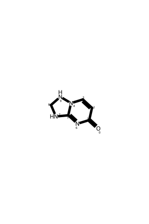 O=c1[c]cn2c(n1)NCN2